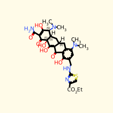 CCOC(=O)c1csc(NCc2cc(N(C)C)c3c(c2O)C(=O)C2=C(O)[C@]4(O)C(=O)C(C(N)=O)=C(O)[C@@H](N(C)C)[C@@H]4C[C@@H]2C3)n1